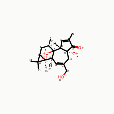 CC1=C[C@H]2[C@@]3(O)[C@H](C)C[C@]4(O)[C@@H]([C@@H]3C=C(CO)C[C@]2(O)C1=O)C4(C)C